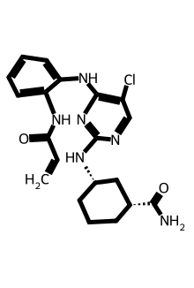 C=CC(=O)Nc1ccccc1Nc1nc(N[C@H]2CCC[C@@H](C(N)=O)C2)ncc1Cl